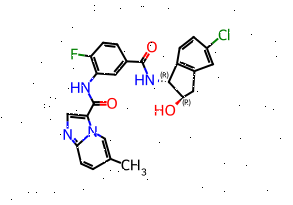 Cc1ccc2ncc(C(=O)Nc3cc(C(=O)N[C@@H]4c5ccc(Cl)cc5C[C@H]4O)ccc3F)n2c1